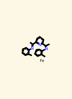 CC(=Nc1ccccc1C)c1cccc(C(C)=Nc2ccccc2C)n1.[Fe]